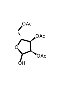 CC(=O)OC[C@H]1OC(O)[C@H](OC(C)=O)[C@@H]1OC(C)=O